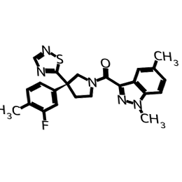 Cc1ccc2c(c1)c(C(=O)N1CC[C@](c3ccc(C)c(F)c3)(c3ncns3)C1)nn2C